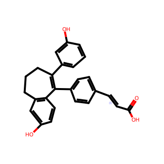 O=C(O)/C=C/c1ccc(C2=C(c3cccc(O)c3)CCCc3cc(O)ccc32)cc1